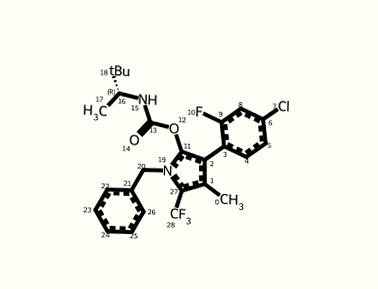 Cc1c(-c2ccc(Cl)cc2F)c(OC(=O)N[C@H](C)C(C)(C)C)n(Cc2ccccc2)c1C(F)(F)F